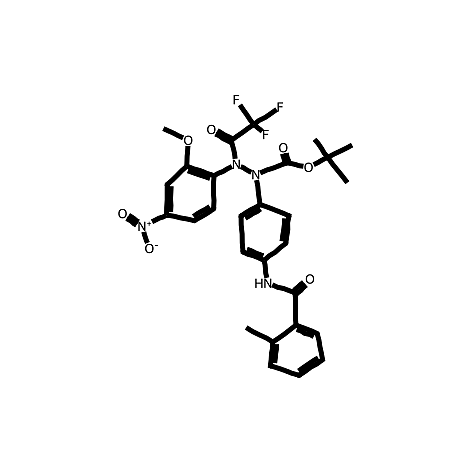 COc1cc([N+](=O)[O-])ccc1N(C(=O)C(F)(F)F)N(C(=O)OC(C)(C)C)c1ccc(NC(=O)c2ccccc2C)cc1